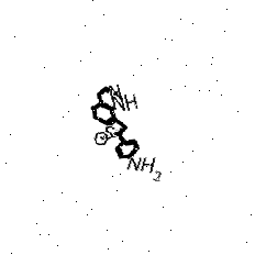 Nc1ccc(C2CC3=C(CCC4=C3NN=CC4)[S+]2[O-])cc1